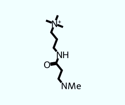 CNCCC(=O)NCCC[N+](C)(C)C